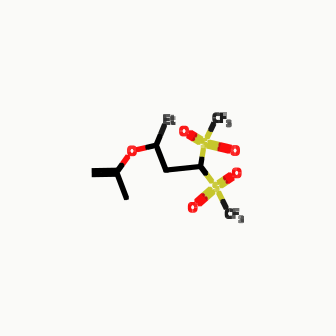 C=C(C)OC(CC)CC(S(=O)(=O)C(F)(F)F)S(=O)(=O)C(F)(F)F